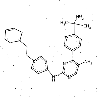 CC(C)(N)c1ccc(-c2nc(Nc3ccc(CCN4CC=CCC4)cc3)ncc2N)cc1